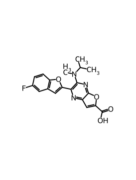 CC(C)N(C)c1nc2oc(C(=O)O)cc2nc1-c1cc2cc(F)ccc2o1